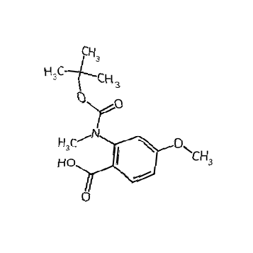 COc1ccc(C(=O)O)c(N(C)C(=O)OC(C)(C)C)c1